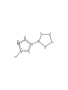 Cc1cc(C2CCCC2)sn1